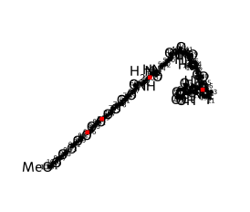 CC[C@@]1(O)C(=O)OCc2c1cc1n(c2=O)Cc2c-1nc1cc(F)c(C)c3c1c2[C@@H](NC(=O)OCc1ccc(NC(=O)[C@H](C)NC(=O)[C@H](C)NC(=O)CCCCCNC(=O)[C@@H](N)CCCCNC(=O)CCOCCOCCOCCOCCOCCOCCOCCOCCOCCOCCOCCOC)cc1)CC3